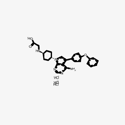 Cl.Cl.Cl.Nc1ncnc2c1c(-c1ccc(Oc3ccccc3)cc1)cn2[C@H]1CC[C@H](NCC(=O)O)CC1